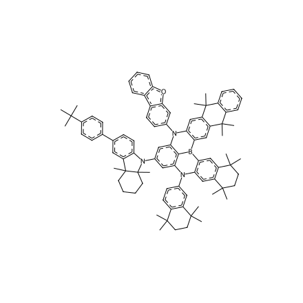 CC(C)(C)c1ccc(-c2ccc3c(c2)C2(C)CCCCC2(C)N3c2cc3c4c(c2)N(c2ccc5c(c2)oc2ccccc25)c2cc5c(cc2B4c2cc4c(cc2N3c2ccc3c(c2)C(C)(C)CCC3(C)C)C(C)(C)CCC4(C)C)C(C)(C)c2ccccc2C5(C)C)cc1